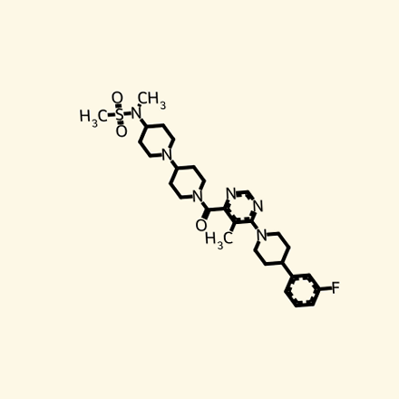 Cc1c(C(=O)N2CCC(N3CCC(N(C)S(C)(=O)=O)CC3)CC2)ncnc1N1CCC(c2cccc(F)c2)CC1